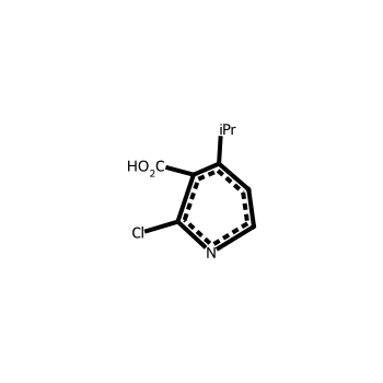 CC(C)c1ccnc(Cl)c1C(=O)O